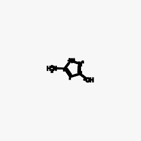 NC1=CC(O)=N[N]1